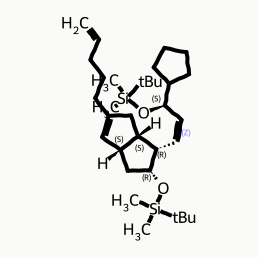 C=CCCCC1=C[C@H]2C[C@@H](O[Si](C)(C)C(C)(C)C)[C@@H](/C=C\[C@@H](O[Si](C)(C)C(C)(C)C)C3CCCC3)[C@H]2C1